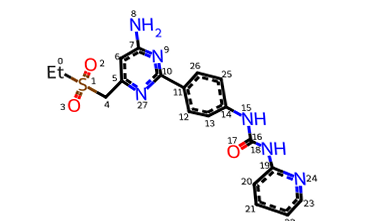 CCS(=O)(=O)Cc1cc(N)nc(-c2ccc(NC(=O)Nc3ccccn3)cc2)n1